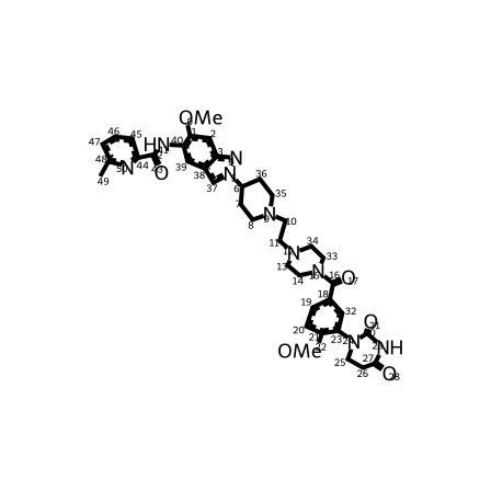 COc1cc2nn(C3CCN(CCN4CCN(C(=O)c5ccc(OC)c(N6CCC(=O)NC6=O)c5)CC4)CC3)cc2cc1NC(=O)c1cccc(C)n1